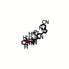 CC(C)Nc1cc(-c2ccc3cc(C#N)cnn23)ncc1-c1nnc(N2C[C@H]3CC[C@@H](C2)[C@@H]3N(C(=O)O)C(C)(C)C)s1